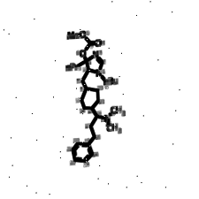 CCCCN1C=NC(CCC)(OC(=O)OC)C1CC1CCC(C(CCc2ccccc2)N(C)C)CC1